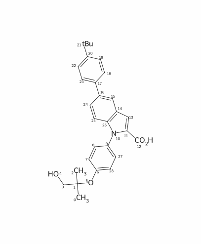 CC(C)(CO)Oc1ccc(-n2c(C(=O)O)cc3cc(-c4ccc(C(C)(C)C)cc4)ccc32)cc1